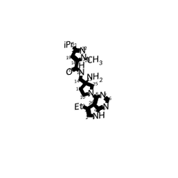 CCc1c[nH]c2ncnc(N3CC[C@](N)(CNC(=O)c4cc(C(C)C)nn4C)C3)c12